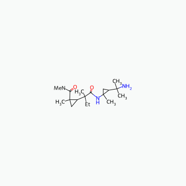 CCC(C)(C(=O)NC1(C)CC1C(C)(C)N)C1CC1(C)C(=O)NC